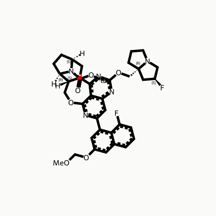 COCOc1cc(-c2cc3nc(OC[C@]45CCCN4C[C@@H](F)C5)nc4c3c(n2)OC[C@@H]2[C@H]3CC[C@@H](CN42)N3C(=O)OC(C)(C)C)c2c(F)cccc2c1